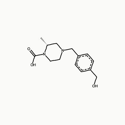 C[C@@H]1CN(Cc2ccc(CO)cc2)CCN1C(=O)O